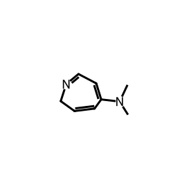 CN(C)C1=CC=NCC=C1